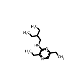 CCc1cnc(CC)c(NCC(CC)CC)n1